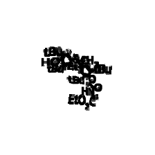 CCOC(=O)CNC(=O)COc1c(C(C)(C)C)cc(S(C)(CC)Sc2cc(C(C)(C)C)c(O)c(C(C)(C)C)c2)cc1C(C)(C)C